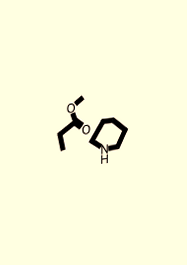 C1CCNCC1.CCC(=O)OC